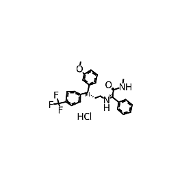 CNC(=O)[C@@H](NCC[C@H](c1ccc(C(F)(F)F)cc1)c1cccc(OC)c1)c1ccccc1.Cl